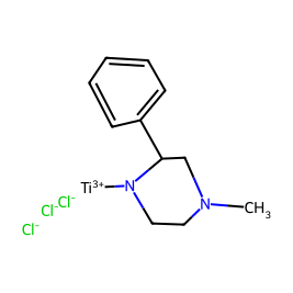 CN1CC[N]([Ti+3])C(c2ccccc2)C1.[Cl-].[Cl-].[Cl-]